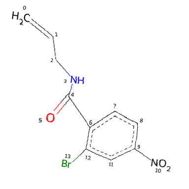 C=CCNC(=O)c1ccc([N+](=O)[O-])cc1Br